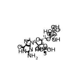 Nc1nc2c(ncn2[C@@H]2O[C@H](COP(=O)(O)OP(=O)(O)O)[C@@H](OP(O)(O)=S)[C@H]2O)c(=O)[nH]1